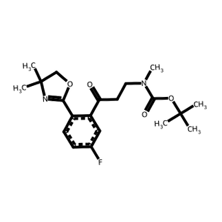 CN(CCC(=O)c1cc(F)ccc1C1=NC(C)(C)CO1)C(=O)OC(C)(C)C